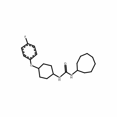 O=C(NC1CCCCCCC1)NC1CCC(Oc2ccc(F)cc2)CC1